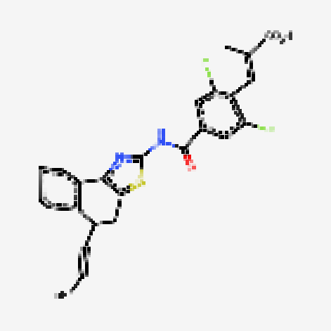 CCCC#CC1Cc2sc(NC(=O)c3cc(F)c(C=C(C)C(=O)O)c(F)c3)nc2-c2ccccc21